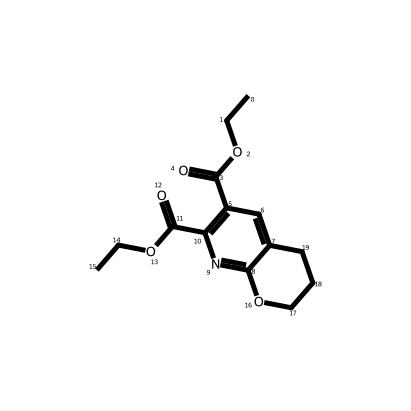 CCOC(=O)c1cc2c(nc1C(=O)OCC)OCCC2